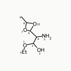 CCOC(O)C(N)C1OC(C)O1